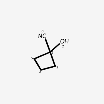 N#CC1(O)CCC1